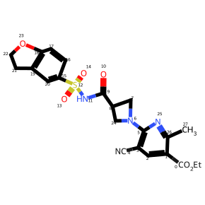 CCOC(=O)c1cc(C#N)c(N2CC(C(=O)NS(=O)(=O)c3ccc4c(c3)CCO4)C2)nc1C